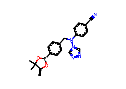 C=C1OB(c2ccc(CN(c3ccc(C#N)cc3)n3cnnc3)cc2)OC1(C)C